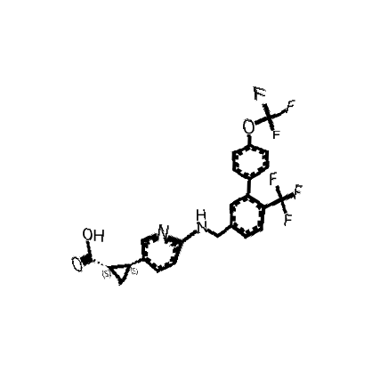 O=C(O)[C@H]1C[C@@H]1c1ccc(NCc2ccc(C(F)(F)F)c(-c3ccc(OC(F)(F)F)cc3)c2)nc1